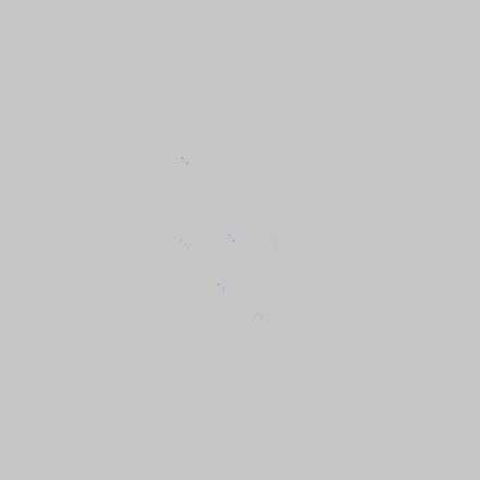 CC1(C(F)F)CN(c2cc(C#N)ccn2)c2ncnc(Cl)c21